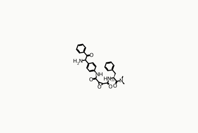 CN(C)C(=O)[C@H](Cc1ccccc1)NC(=O)C1OC1C(=O)Nc1ccc(C(N)C(=O)c2ccccc2)cc1